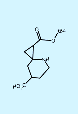 CC(C)(C)OC(=O)C1CC12CC(C(=O)O)CCN2